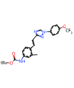 Cc1cc(NC(=O)OC(C)(C)C)ccc1/C=C/c1ncn(-c2ccc(OC(F)(F)F)cc2)n1